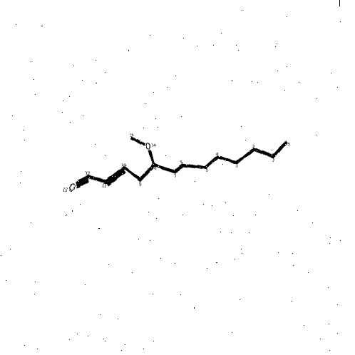 CCCCCCCCC(CC=CC=O)OC